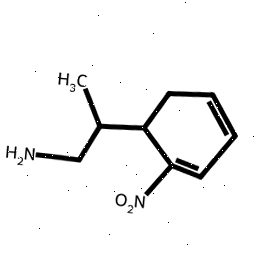 CC(CN)C1CC=CC=C1[N+](=O)[O-]